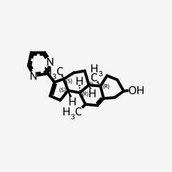 CC1C=C2CC(O)CC[C@]2(C)[C@@H]2CC[C@]3(C)C(c4ncccn4)=CC[C@H]3[C@H]12